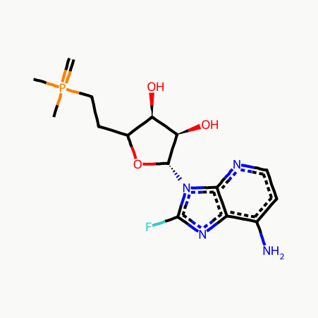 C=P(C)(C)CCC1O[C@@H](n2c(F)nc3c(N)ccnc32)[C@H](O)[C@@H]1O